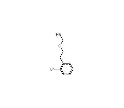 SCOCCc1ccccc1Br